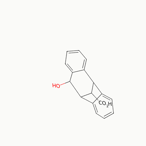 O=C(O)C1C2c3ccccc3C(O)C1c1ccccc12